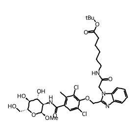 CO[C@H]1O[C@H](CO)[C@@H](O)[C@H](O)[C@H]1NC(=O)c1cc(Cl)c(OCc2nc3ccccc3n2CC(=O)NCCCCCC(=O)OC(C)(C)C)c(Cl)c1C